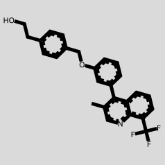 Cc1cnc2c(C(F)(F)F)cccc2c1-c1cccc(OCc2ccc(CCO)cc2)c1